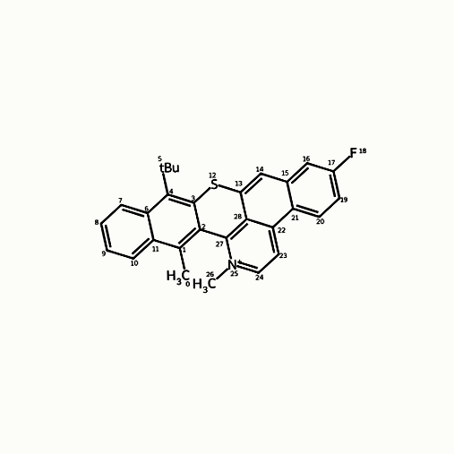 Cc1c2c(c(C(C)(C)C)c3ccccc13)Sc1cc3cc(F)ccc3c3cc[n+](C)c-2c13